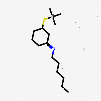 CCCCCCN=C1CCCC(S[Si](C)(C)C)C1